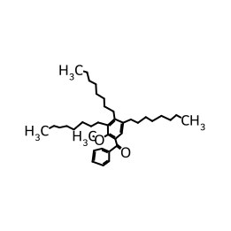 CCCCCCCCc1cc(C(=O)c2ccccc2)c(OC)c(CCCCCCCC)c1CCCCCCCC